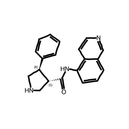 O=C(Nc1cccc2cnccc12)[C@@H]1CNC[C@H]1c1ccccc1